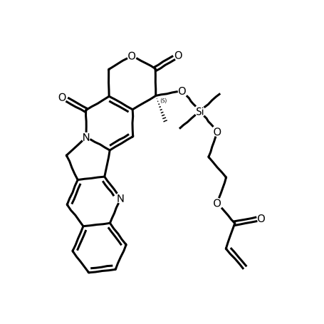 C=CC(=O)OCCO[Si](C)(C)O[C@]1(C)C(=O)OCc2c1cc1n(c2=O)Cc2cc3ccccc3nc2-1